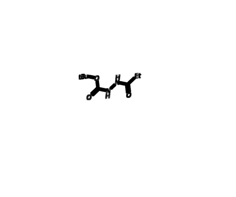 CCC(=O)NNC(=O)OC(C)(C)C